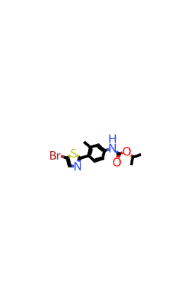 Cc1cc(NC(=O)OC(C)C)ccc1-c1ncc(Br)s1